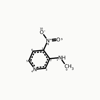 CNc1cnccc1[N+](=O)[O-]